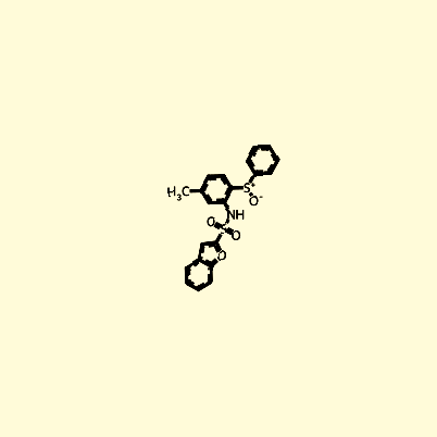 Cc1ccc([S+]([O-])c2ccccc2)c(NS(=O)(=O)c2cc3ccccc3o2)c1